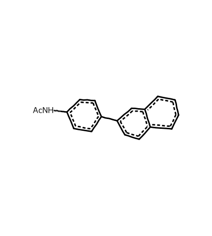 CC(=O)Nc1ccc(-c2ccc3ccccc3c2)cc1